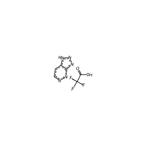 O=C(O)C(F)(F)F.c1cc2[nH]nnc2nn1